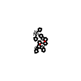 c1ccc(-c2nnc(-c3ccccc3)n2-c2ccc3c4ccccc4n(-c4ccccc4-c4ccccc4-n4c5ccccc5c5c6c(ccc54)oc4ccccc46)c3c2)cc1